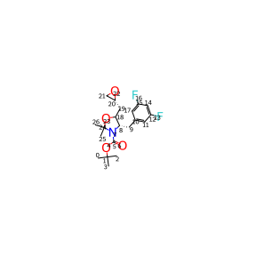 CC(C)(C)OC(=O)N1[C@@H](Cc2cc(F)cc(F)c2)C(C[C@@H]2CO2)OC1(C)C